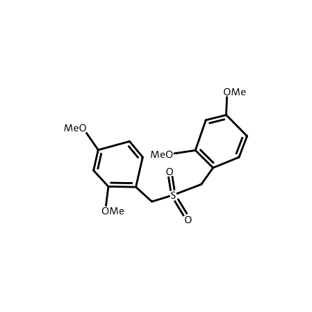 COc1ccc(CS(=O)(=O)Cc2ccc(OC)cc2OC)c(OC)c1